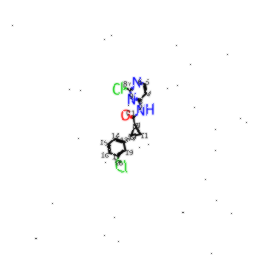 O=C(Nc1ccnc(Cl)n1)[C@H]1C[C@@H]1c1cccc(Cl)c1